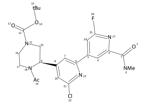 CNC(=O)c1cc(-c2cc([C@@H]3CN(C(=O)OC(C)(C)C)CCN3C(C)=O)cc(Cl)n2)cc(F)n1